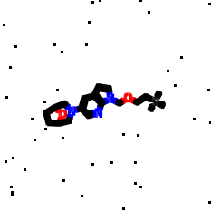 C[Si](C)(C)CCOCn1ccc2cc(N3CC4CCC(C3)O4)cnc21